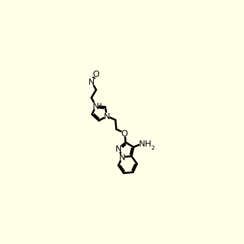 Nc1c(OCCn2cc[n+](CCN=O)c2)nn2ccccc12